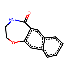 O=C1NCCOc2cc3ccccc3cc21